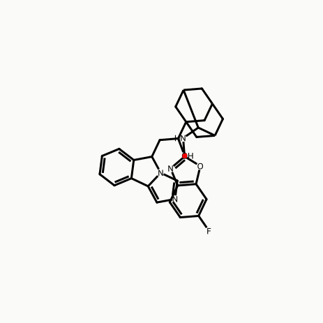 OC(CC1c2ccccc2-c2cncn21)C12CC3CC(C1)C(Nc1nc4ccc(F)cc4o1)C(C3)C2